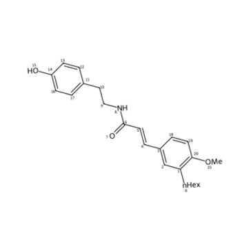 CCCCCCc1cc(C=CC(=O)NCCc2ccc(O)cc2)ccc1OC